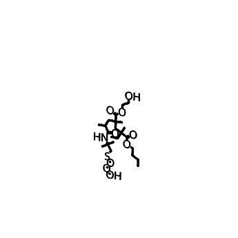 CCCCOC(=O)C(C)(CC)CC(C)(CC(C)C(=O)NC(C)(C)CSOOO)C(=O)OCCO